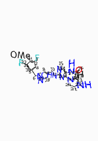 COc1c(F)cc(Cn2cc(CNc3nc(C)c4c(n3)N3CCNC[C@@H]3C(=O)N4)cn2)cc1F